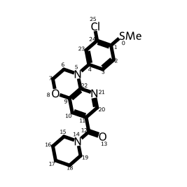 CSc1ccc(N2CCOc3cc(C(=O)N4CCCCC4)cnc32)cc1Cl